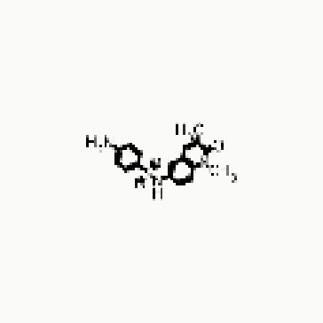 Cc1cc2cc(NS(=O)(=O)c3ccc(N)cc3)ccc2n(C)c1=O